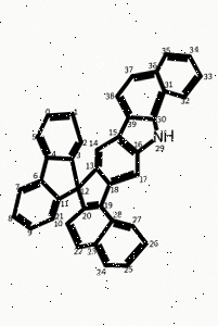 c1ccc2c(c1)-c1ccccc1C21c2cc3c(cc2-c2c1ccc1ccccc21)[nH]c1c2ccccc2ccc31